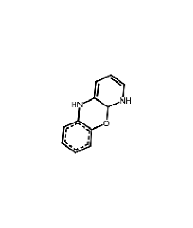 C1=CNC2Oc3ccccc3NC2=C1